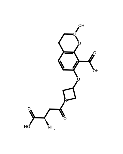 N[C@H](CC(=O)N1CC(Oc2ccc3c(c2C(=O)O)OB(O)CC3)C1)C(=O)O